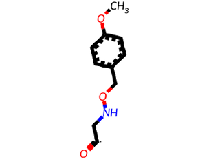 COc1ccc(CONC[C]=O)cc1